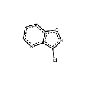 Clc1noc2cccnc12